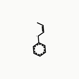 C/C=C\[CH]c1ccccc1